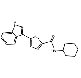 O=C(NC1CCCCC1)c1ccc(-c2n[nH]c3ccccc23)s1